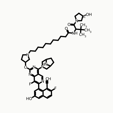 C#Cc1c(F)ccc2cc(O)cc(-c3ncc4c(N5CC6CCC(C5)N6)nc(OC5CCN(CCCCCCCCCCC(=O)NC(C(=O)N6CC[C@@H](O)C6)C(C)(C)C)C5)nc4c3F)c12